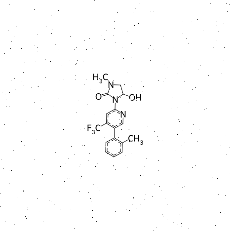 Cc1ccccc1-c1cnc(N2C(=O)N(C)CC2O)cc1C(F)(F)F